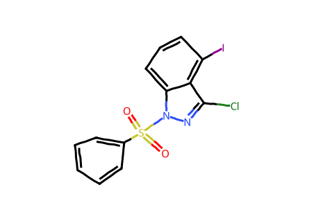 O=S(=O)(c1ccccc1)n1nc(Cl)c2c(I)cccc21